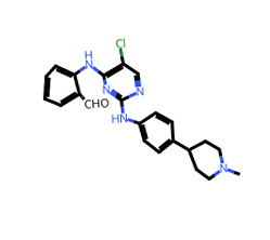 CN1CCC(c2ccc(Nc3ncc(Cl)c(Nc4ccccc4C=O)n3)cc2)CC1